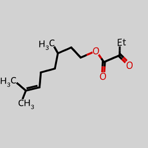 CCC(=O)C(=O)OCCC(C)CCC=C(C)C